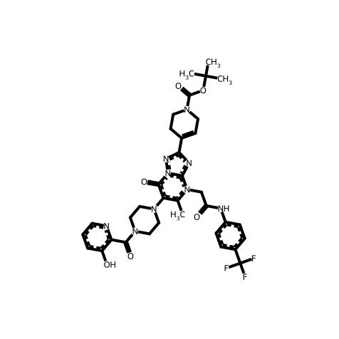 Cc1c(N2CCN(C(=O)c3ncccc3O)CC2)c(=O)n2nc(C3=CCN(C(=O)OC(C)(C)C)CC3)nc2n1CC(=O)Nc1ccc(C(F)(F)F)cc1